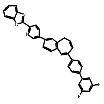 Fc1cc(F)cc(-c2ccc(C3=Cc4ccc(-c5ccc(-c6nc7ccccc7o6)nc5)cc4CC=C3)cc2)c1